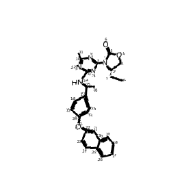 CC[C@H]1COC(=O)N1c1nc(C)nc(NC(C)c2ccc(Oc3ccc4ccccc4c3)cc2)n1